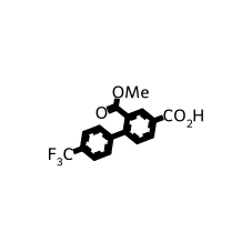 COC(=O)c1cc(C(=O)O)ccc1-c1ccc(C(F)(F)F)cc1